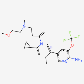 C=C(CCN(C)CCOC)N(/C=C(\CC)c1cnc(N)c(OC(F)(F)F)c1)C(=C)C1CC1